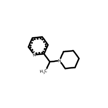 C[C](c1ccccn1)N1CCCCC1